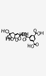 O=C(O)C=C(CC(=O)O)C(=O)O.O=C(O)c1cc(C(=O)O)cc(C(=O)O)c1